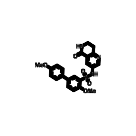 COc1ccc(-c2ccc(OC)c(S(=O)(=O)Nc3cnc4c(c3)C(=O)NCC4)c2)cc1